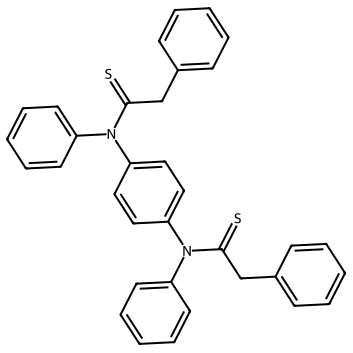 S=C(Cc1ccccc1)N(c1ccccc1)c1ccc(N(C(=S)Cc2ccccc2)c2ccccc2)cc1